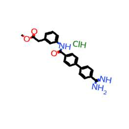 COC(=O)Cc1cccc(NC(=O)c2ccc(-c3ccc(C(=N)N)cc3)cc2)c1.Cl